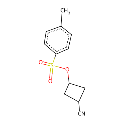 Cc1ccc(S(=O)(=O)OC2CC(C#N)C2)cc1